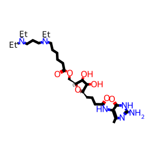 CCN(CC)CCCN(CC)CCCCCC(=O)OC[C@@H]1O[C@H](CCCC(=O)Nc2c(C)nc(N)[nH]c2=O)C(O)C1O